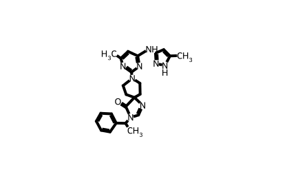 Cc1cc(Nc2cc(C)[nH]n2)nc(N2CCC3(CC2)N=CN(C(C)c2ccccc2)C3=O)n1